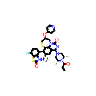 C=CC(=O)N1[C@H](C)CN(c2nc(=O)n3c4c(c(-c5ccc(F)c6sc(=O)[nH]c56)c(C(F)(F)F)cc24)SCC(Oc2ccncc2)C3)C[C@@H]1C